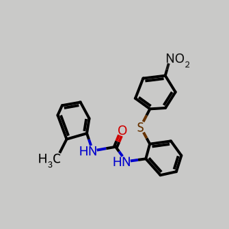 Cc1ccccc1NC(=O)Nc1ccccc1Sc1ccc([N+](=O)[O-])cc1